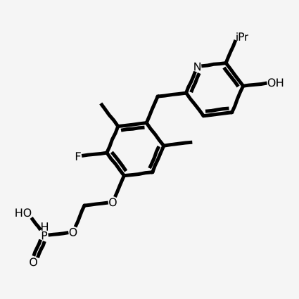 Cc1cc(OCO[PH](=O)O)c(F)c(C)c1Cc1ccc(O)c(C(C)C)n1